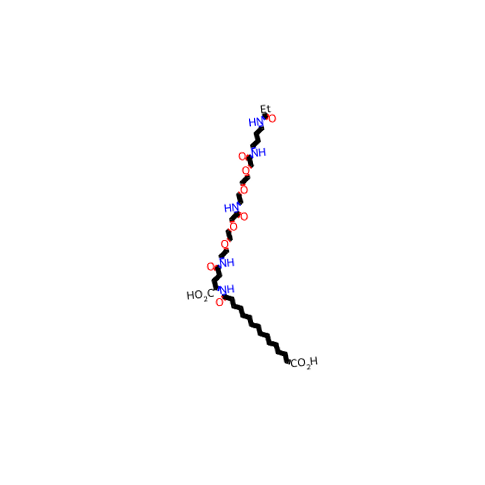 CCC(=O)NCCCCNC(=O)COCCOCCNC(=O)COCCOCCNC(=O)CC[C@H](NC(=O)CCCCCCCCCCCCCCC(=O)O)C(=O)O